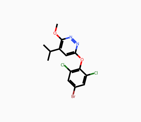 COc1nnc(Oc2c(Cl)cc(Br)cc2Cl)cc1C(C)C